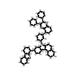 c1ccc(-c2nc3cccc(-c4cccc(-n5c6cc(-c7cccc8c7sc7ccccc78)ccc6c6c7ccccc7ccc65)c4)c3nc2-c2ccccc2)cc1